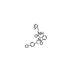 CC(CN1C(=O)c2ccccc2C1C(=O)NCCc1cccs1)c1ccc(Cl)cc1